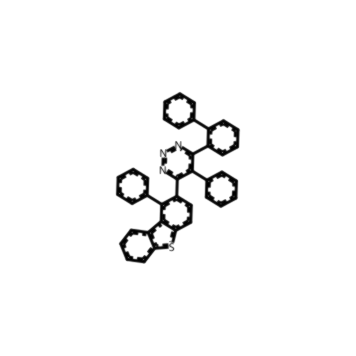 c1ccc(-c2ccccc2-c2nnnc(-c3ccc4sc5ccccc5c4c3-c3ccccc3)c2-c2ccccc2)cc1